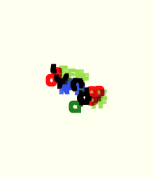 CCOC(=O)c1cnn(C2CN(C3C=C(Cl)C=CC3(C)OS(=O)(=O)C(F)(F)F)CC(F)(F)C2)c1C(F)F